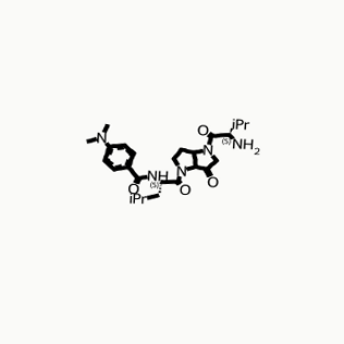 CC(C)C[C@H](NC(=O)c1ccc(N(C)C)cc1)C(=O)N1CCC2C1C(=O)CN2C(=O)[C@@H](N)C(C)C